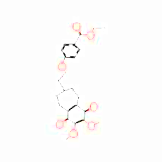 CCOC(=O)c1ccc(OCCC2CCC3=C(CC2)C(=O)C(OC)=C(OC)C3=O)cc1